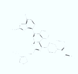 C=C(F)C(=O)N1CCN(c2nc(OC[C@@H]3CCCN3C)nc3cc(-c4ccc(F)c5sc(N)nc45)c4c(c23)OCCC4)C[C@@H]1CC#N